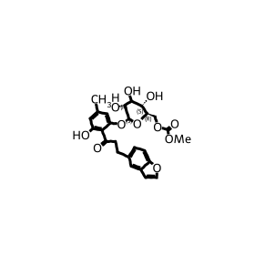 COC(=O)OC[C@H]1O[C@@H](Oc2cc(C)cc(O)c2C(=O)CCc2ccc3occc3c2)[C@H](O)C(O)[C@@H]1O